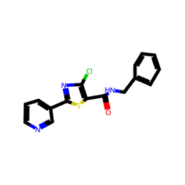 O=C(NCc1ccccc1)c1sc(-c2cccnc2)nc1Cl